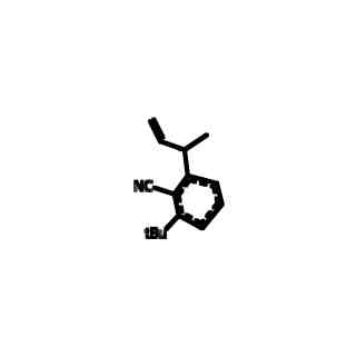 C=C[C](C)c1cccc(C(C)(C)C)c1C#N